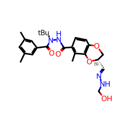 Cc1cc(C)cc(C(=O)N(NC(=O)c2ccc3c(c2C)O[C@@H](C=NNCO)CO3)C(C)(C)C)c1